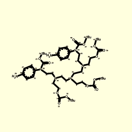 CC(C)(C)OC(=O)OCCN(CCN(CCOC(=O)OC(C)(C)C)CCN(C(=O)OC(C)(C)C)c1ccc(N)cc1)CCN(CCOC(=O)OC(C)(C)C)CCN(C(=O)OC(C)(C)C)c1ccc(N)cc1